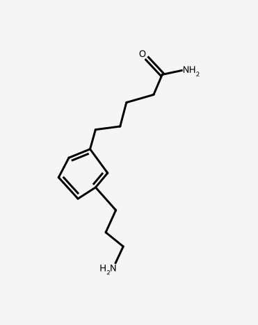 NCCCc1cccc(CCCCC(N)=O)c1